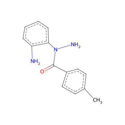 Cc1ccc(C(=O)N(N)c2ccccc2N)cc1